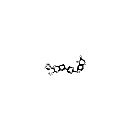 C[C@@H](Cn1cnnn1)Oc1cc(-c2cnc(Nc3ccc4c(c3)NC(=O)CO4)nc2)ccc1Cl